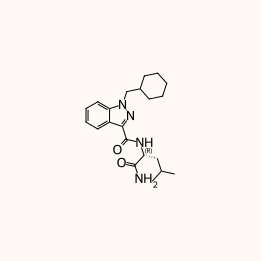 CC(C)C[C@@H](NC(=O)c1nn(CC2CCCCC2)c2ccccc12)C(N)=O